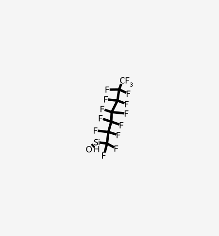 O=[SiH]C(F)(F)C(F)(F)C(F)(F)C(F)(F)C(F)(F)C(F)(F)C(F)(F)F